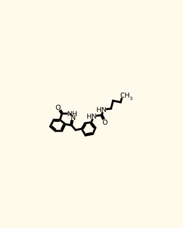 CCCCNC(=O)Nc1cccc(Cc2n[nH]c(=O)c3ccccc23)c1